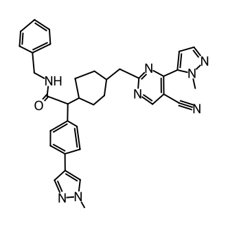 Cn1cc(-c2ccc(C(C(=O)NCc3ccccc3)C3CCC(Cc4ncc(C#N)c(-c5ccnn5C)n4)CC3)cc2)cn1